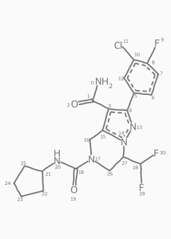 NC(=O)c1c(-c2ccc(F)c(Cl)c2)nn2c1CN(C(=O)NC1CCCC1)CC2C(F)F